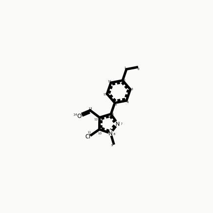 CCc1ccc(-c2nn(C)c(Cl)c2C=O)cc1